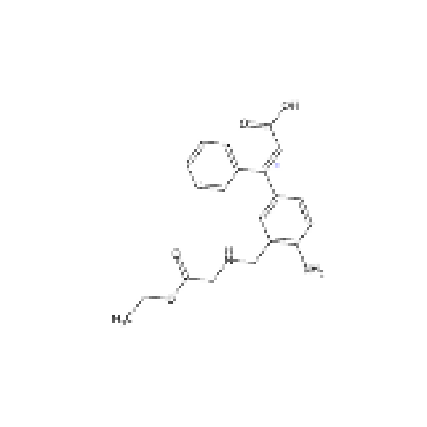 CCOC(=O)CNCc1cc(/C(=C/C(=O)O)c2ccccc2)ccc1N